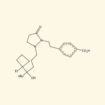 CCCCC(O)(CCCN1CCC(=O)N1CCc1ccc(C(=O)O)cc1)C1(CC)CCC1